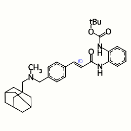 CN(Cc1ccc(/C=C/C(=O)Nc2ccccc2NC(=O)OC(C)(C)C)cc1)CC12CC3CC(CC(C3)C1)C2